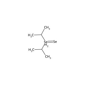 CC(C)[SeH2](=[Se])C(C)C